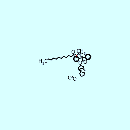 CCCCCCCCCCCC(=O)OC(C)OC(C(=O)OC1CC2CCC(C1)[N+]21CCCC1)(c1ccccc1)c1ccccc1.O=C[O-]